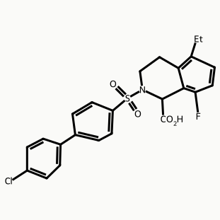 CCc1ccc(F)c2c1CCN(S(=O)(=O)c1ccc(-c3ccc(Cl)cc3)cc1)C2C(=O)O